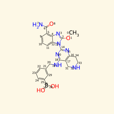 COc1nc2c(C(N)=O)cccc2n1-c1nc2c(c(NCc3cccc(B(O)O)c3)n1)CNCC2